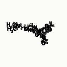 CCN(CC)CCCOc1ccc2nc(NC(=O)/C(=N/O[C@@H]3CCOC3)c3ccc(S(=O)(=O)C4CC4)cc3)sc2n1